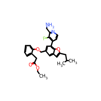 CCOC(=O)Cc1ccccc1OCc1cc(-c2ccnc(CN)c2F)c2oc(CC(C)C)cc2c1